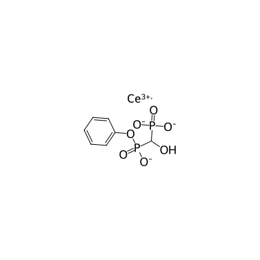 O=P([O-])([O-])C(O)P(=O)([O-])Oc1ccccc1.[Ce+3]